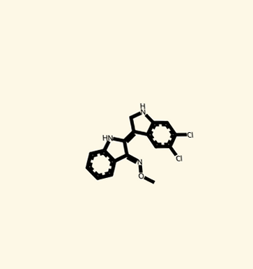 CO/N=C1/C(=C2/CNc3cc(Cl)c(Cl)cc32)Nc2ccccc21